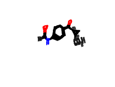 CCC(=O)Nc1ccc(C(=O)[C@H]2C[C@H]2C(=O)O)cc1